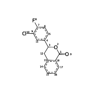 O=C1OC(c2ccc(F)c(Cl)c2)Cc2ccccc21